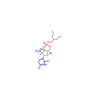 CCCC(CCC)CO[P@@]1(=O)OC[C@H]2OC(n3ccc(=O)[nH]c3=O)[C@](C)(N)[C@@H]2O1